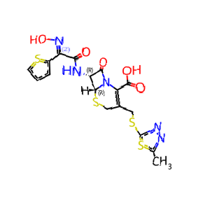 Cc1nnc(SCC2=C(C(=O)O)N3C(=O)[C@@H](NC(=O)/C(=N/O)c4cccs4)[C@H]3SC2)s1